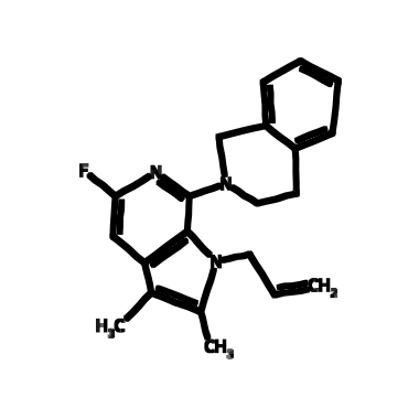 C=CCn1c(C)c(C)c2cc(F)nc(N3CCc4ccccc4C3)c21